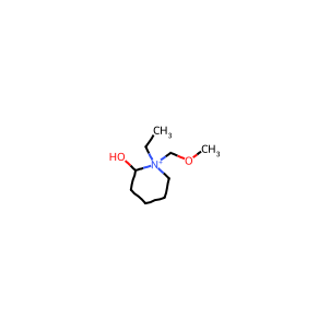 CC[N+]1(COC)CCCCC1O